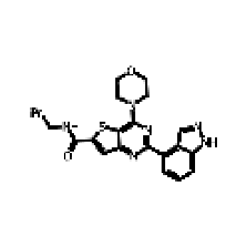 CC(C)CNC(=O)c1cc2nc(-c3cccc4[nH]ncc34)nc(N3CCOCC3)c2s1